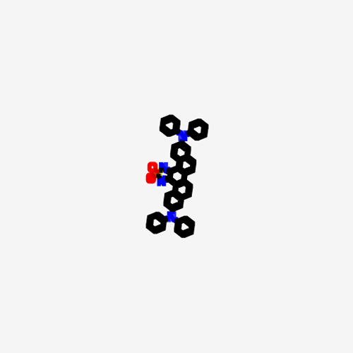 O=S1(=O)N=c2c(c3c4ccc(N(c5ccccc5)c5ccccc5)cc4ccc3c3ccc4cc(N(c5ccccc5)c5ccccc5)ccc4c23)=N1